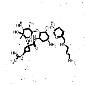 CN[C@@H]1[C@@H](O)[C@@H](O[C@H]2[C@H](NC(=O)C3(O)CC(NC(=N)N)C3)C[C@H](N)C([C@H]3OC(CNCCCN)=CC[C@H]3N)[C@@H]2O)OC[C@]1(C)O